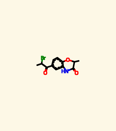 CC(Br)C(=O)c1ccc2c(c1)NC(=O)C(C)O2